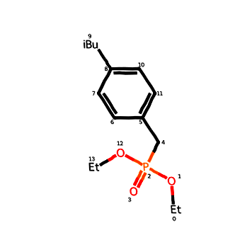 CCOP(=O)(Cc1ccc(C(C)CC)cc1)OCC